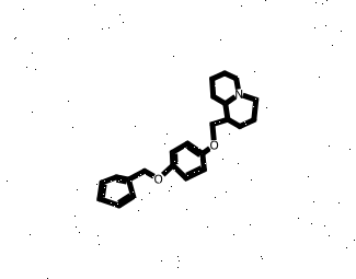 c1ccc(COc2ccc(OCC3CCCN4CCCCC34)cc2)cc1